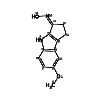 COc1ccc2[nH]c3c(c2c1)CC/C3=N/O